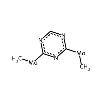 [CH3][Mo][c]1ncn[c]([Mo][CH3])n1